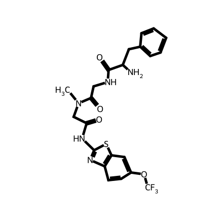 CN(CC(=O)Nc1nc2ccc(OC(F)(F)F)cc2s1)C(=O)CNC(=O)C(N)Cc1ccccc1